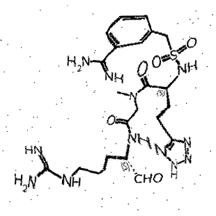 CN(CC(=O)N[C@H](C=O)CCCNC(=N)N)C(=O)[C@H](CCc1nn[nH]n1)NS(=O)(=O)Cc1cccc(C(=N)N)c1